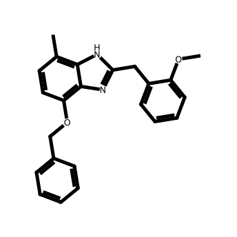 COc1ccccc1Cc1nc2c(OCc3ccccc3)ccc(C)c2[nH]1